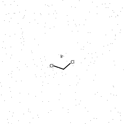 ClCCl.[Ir]